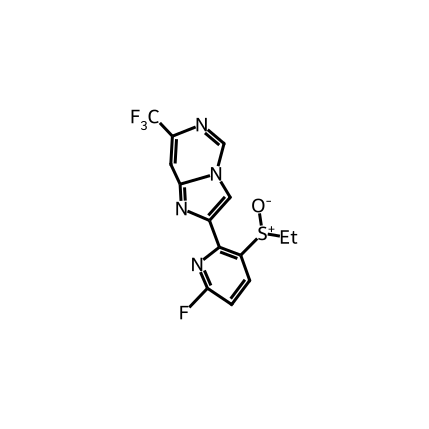 CC[S+]([O-])c1ccc(F)nc1-c1cn2cnc(C(F)(F)F)cc2n1